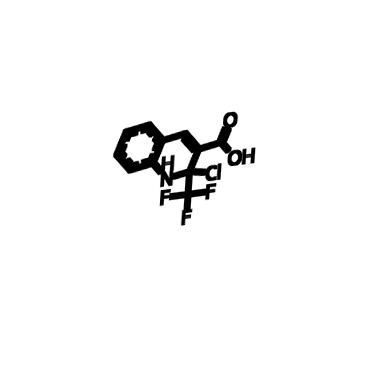 O=C(O)C1=Cc2ccccc2NC1(Cl)C(F)(F)F